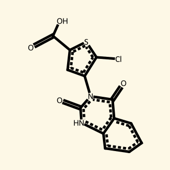 O=C(O)c1cc(-n2c(=O)[nH]c3ccccc3c2=O)c(Cl)s1